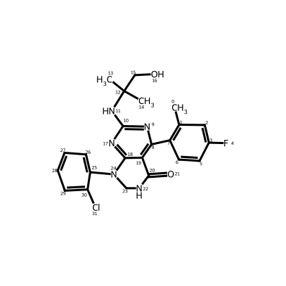 Cc1cc(F)ccc1-c1nc(NC(C)(C)CO)nc2c1C(=O)NCN2c1ccccc1Cl